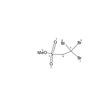 [CH2]OS(=O)(=O)CC(Br)(Br)Br